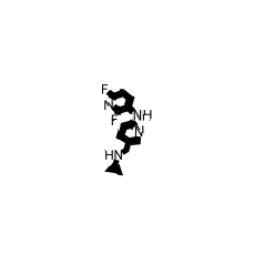 Fc1ccc(Nc2ccc(CNC3CC3)cn2)c(F)n1